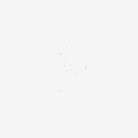 C=CCCC[C@@H](C)Oc1cc(/C(=N\C)Nc2cccc(Cl)c2)c(N)cc1O